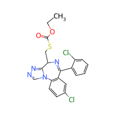 CCOC(=O)SCC1N=C(c2ccccc2Cl)c2cc(Cl)ccc2-n2cnnc21